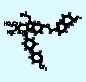 CC(C)Cc1c(CC(C)(C)C(=O)O)n(Cc2ccc(-c3ccc(C(F)(F)F)nc3)cc2)c2ccc(OCc3ccc4cc(F)ccc4n3)cc12